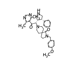 COc1ccc(CN2CCC3(CCN(C(C(=O)c4c(C)ncnc4C)[C@@H]4CNC[C@@H]4c4ccccc4)CC3)C2=O)cc1